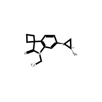 CC(C)[C@H]1C[C@@H]1c1ccc2c(c1)N(CC(F)(F)F)C(=O)C21CCC1